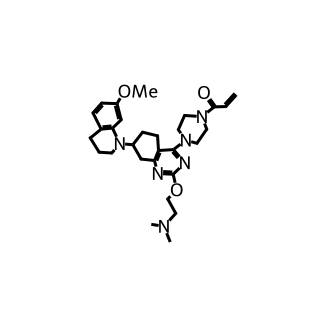 C=CC(=O)N1CCN(c2nc(OCCN(C)C)nc3c2CCC(N2CCCc4ccc(OC)cc42)C3)CC1